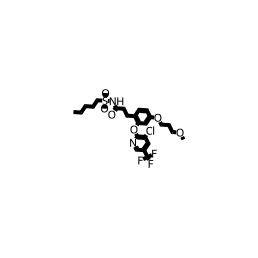 CCCCCS(=O)(=O)NC(=O)CCc1ccc(OCCCOC)cc1Oc1ncc(C(F)(F)F)cc1Cl